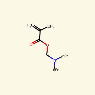 C=C(C)C(=O)OCN(CCC)CCC